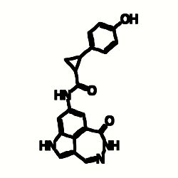 O=C1NN=Cc2c[nH]c3cc(NC(=O)C4CC4c4ccc(O)cc4)cc1c23